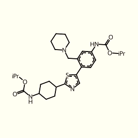 CC(C)OC(=O)Nc1ccc(-c2cnc(C3CCC(NC(=O)OC(C)C)CC3)s2)c(CN2CCCCC2)c1